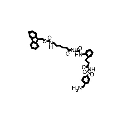 NCc1ccc(S(=O)(=O)NC(=O)CCc2ccccc2NC(=O)CNC(=O)CCCCCNC(=O)OCC2c3ccccc3-c3ccccc32)cc1